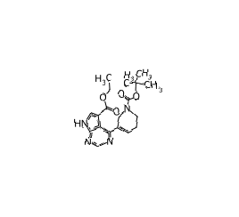 CCOC(=O)c1c[nH]c2ncnc(C3=CCCN(C(=O)OC(C)(C)C)C3)c12